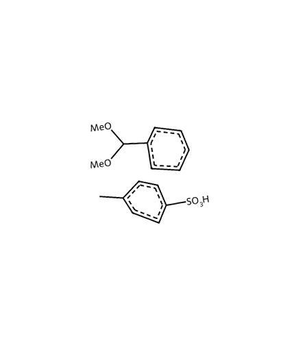 COC(OC)c1ccccc1.Cc1ccc(S(=O)(=O)O)cc1